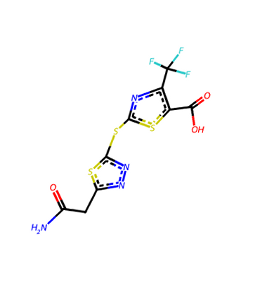 NC(=O)Cc1nnc(Sc2nc(C(F)(F)F)c(C(=O)O)s2)s1